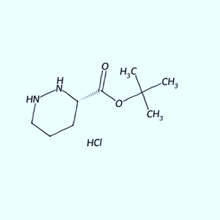 CC(C)(C)OC(=O)[C@@H]1CCCNN1.Cl